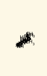 CNC(=O)c1ccccc1Nc1nc(Nc2cnc3[nH]ccc3c2)ncc1C